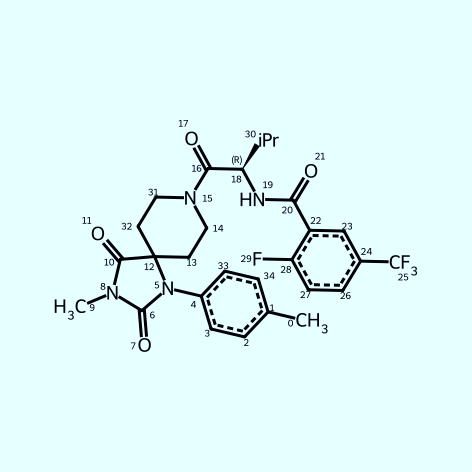 Cc1ccc(N2C(=O)N(C)C(=O)C23CCN(C(=O)[C@H](NC(=O)c2cc(C(F)(F)F)ccc2F)C(C)C)CC3)cc1